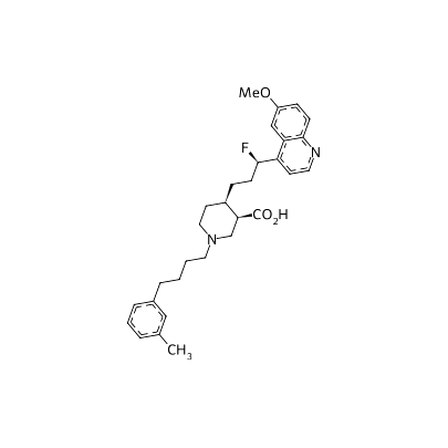 COc1ccc2nccc([C@H](F)CC[C@@H]3CCN(CCCCc4cccc(C)c4)C[C@@H]3C(=O)O)c2c1